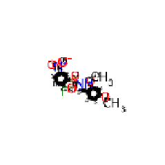 COc1ccc(CNS(=O)(=O)c2cc([N+](=O)[O-])ccc2F)c(OC)c1